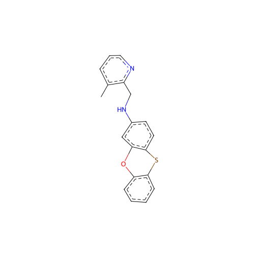 Cc1cccnc1CNc1ccc2c(c1)Oc1ccccc1S2